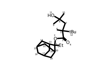 CCC1(OC(=O)C(C)(CC(C)(C)O)C(C)(C)C)C2CC3CC(C2)CC1C3